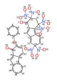 Brc1ccccc1.O=C1C2=CC3=CC([N+](=O)[O-])([N+](=O)[O-])C=CC3=C2C([N+](=O)[O-])([N+](=O)[O-])CC1([N+](=O)[O-])[N+](=O)[O-].O=C1C=CC=C2C1=Cc1ccccc12